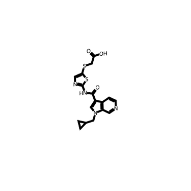 O=C(O)CSc1cnc(NC(=O)c2cn(CC3CC3)c3cnccc23)s1